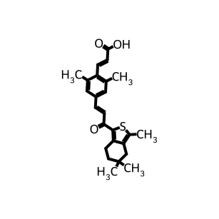 Cc1cc(C=CC(=O)c2sc(C)c3c2CCC(C)(C)C3)cc(C)c1C=CC(=O)O